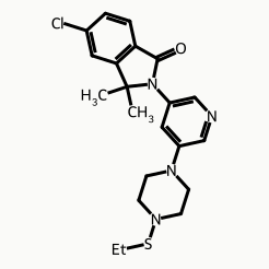 CCSN1CCN(c2cncc(N3C(=O)c4ccc(Cl)cc4C3(C)C)c2)CC1